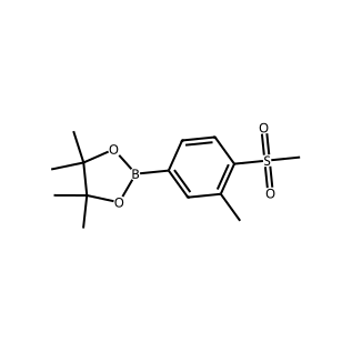 Cc1cc(B2OC(C)(C)C(C)(C)O2)ccc1S(C)(=O)=O